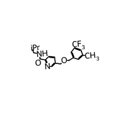 Cc1cc(COCc2ccc(C(=O)NCC(C)C)nc2)cc(C(F)(F)F)c1